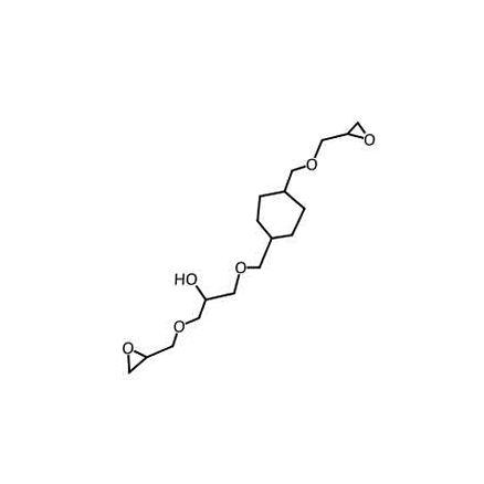 OC(COCC1CCC(COCC2CO2)CC1)COCC1CO1